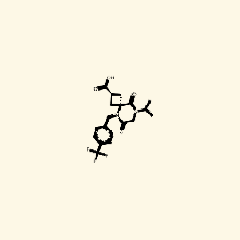 CC(C)N1CC(=O)N(Cc2ccc(C(F)(F)F)cc2)[C@]2(C[C@H](C(=O)O)C2)C1=O